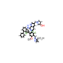 CCOc1cc(/C(F)=C/C2(Nc3nccc4cc(CN5CCC(O)C5)cnc34)C=CC=C(c3ccccc3)C2(C)Cl)c(Cl)c(F)c1CNC1(C(=O)O)CC1